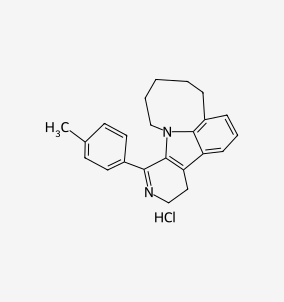 Cc1ccc(C2=NCCc3c2n2c4c(cccc34)CCCCC2)cc1.Cl